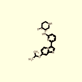 CC(C)Oc1ccn2c(-c3cccc(N[C@H]4CNCC[C@@H]4F)n3)cnc2c1